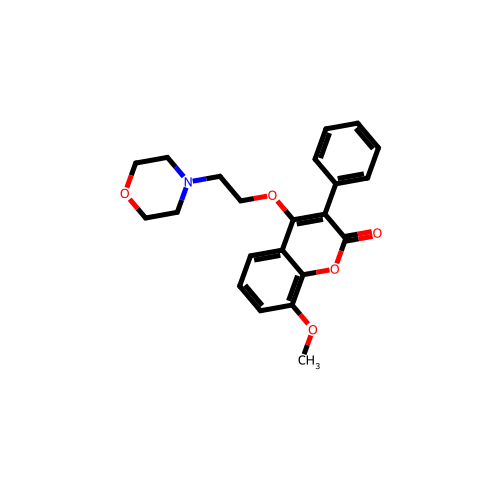 COc1cccc2c(OCCN3CCOCC3)c(-c3ccccc3)c(=O)oc12